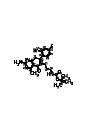 Cc1nc(N)nc2c1C(=O)N(CCCNC(=O)OC(C)(C)C)C(c1ccc(F)cc1Br)C2